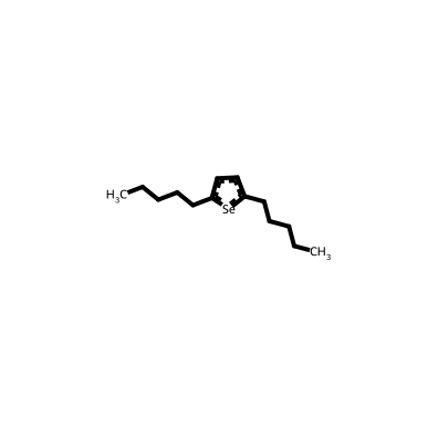 CCCCCc1ccc(CCCCC)[se]1